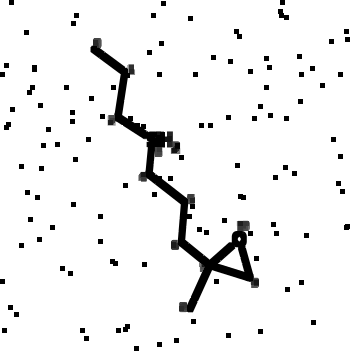 CCC[SiH2]CCCC1(C)CO1